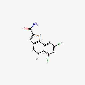 CC1Cc2cc(C(N)=O)sc2-c2cc(F)cc(F)c21